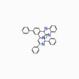 Clc1nc2ccccc2nc1-c1ccc(-c2ccccc2)cc1-c1cc(-c2ccccc2)nc(-c2ccccc2)n1